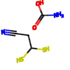 N#CCC(S)S.NC(=O)O